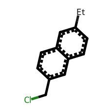 CCc1ccc2cc(CCl)ccc2c1